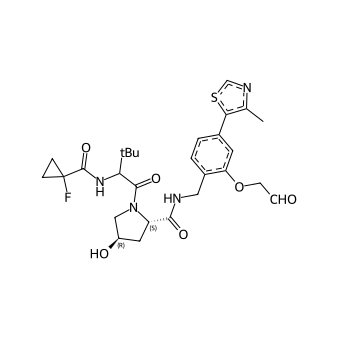 Cc1ncsc1-c1ccc(CNC(=O)[C@@H]2C[C@@H](O)CN2C(=O)C(NC(=O)C2(F)CC2)C(C)(C)C)c(OCC=O)c1